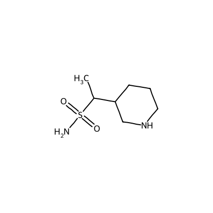 CC(C1CCCNC1)S(N)(=O)=O